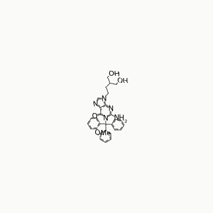 COc1ccccc1C(c1ccccc1)(c1ccccc1)n1c(N)nc2c(ncn2CCC(CO)CO)c1=O